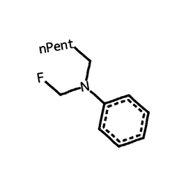 CCCCCCN(CF)c1ccccc1